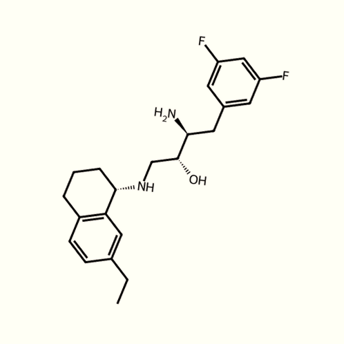 CCc1ccc2c(c1)[C@@H](NC[C@@H](O)[C@@H](N)Cc1cc(F)cc(F)c1)CCC2